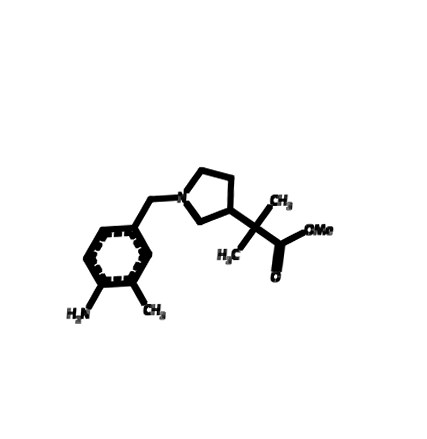 COC(=O)C(C)(C)C1CCN(Cc2ccc(N)c(C)c2)C1